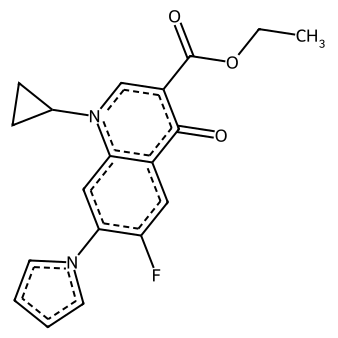 CCOC(=O)c1cn(C2CC2)c2cc(-n3cccc3)c(F)cc2c1=O